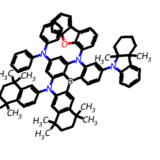 CC1(C)CCC(C)(C)c2cc(N3c4cc5c(cc4B4c6ccc(N7c8ccccc8C8(C)CCCCC78C)cc6N(c6cccc7c6oc6ccccc67)c6cc(N(c7ccccc7)c7ccccc7)cc3c64)C(C)(C)CCC5(C)C)ccc21